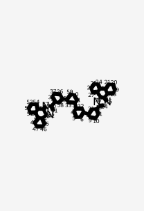 c1cc(-c2cccc(-c3cccc(-c4cnc5c6ccccc6c6ccccc6c5n4)c3)c2)cc(-c2cccc(-c3cnc4c5ccccc5c5ccccc5c4n3)c2)c1